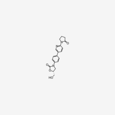 O=C1O[C@@H](CO)CN1c1ccc(-c2ccc(N3CCCC3=O)nc2)cc1